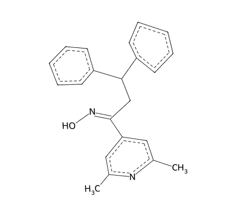 Cc1cc(C(CC(c2ccccc2)c2ccccc2)=NO)cc(C)n1